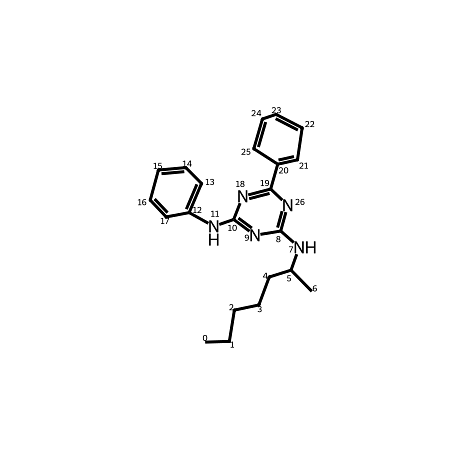 CCCCCC(C)Nc1nc(Nc2ccccc2)nc(-c2ccccc2)n1